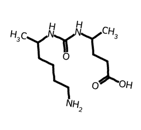 CC(CCCCN)NC(=O)NC(C)CCC(=O)O